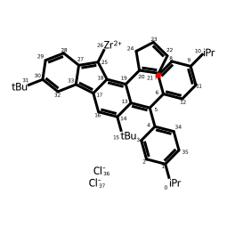 CC(C)c1ccc(C(c2ccc(C(C)C)cc2)=c2c(C(C)(C)C)cc3c(c2C2=CC=CC2)[C]([Zr+2])=c2ccc(C(C)(C)C)cc2=3)cc1.[Cl-].[Cl-]